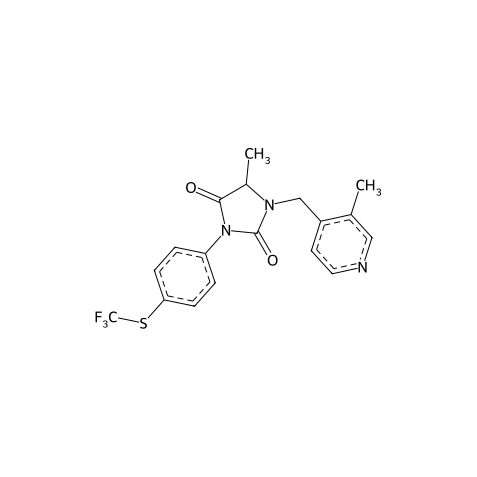 Cc1cnccc1CN1C(=O)N(c2ccc(SC(F)(F)F)cc2)C(=O)C1C